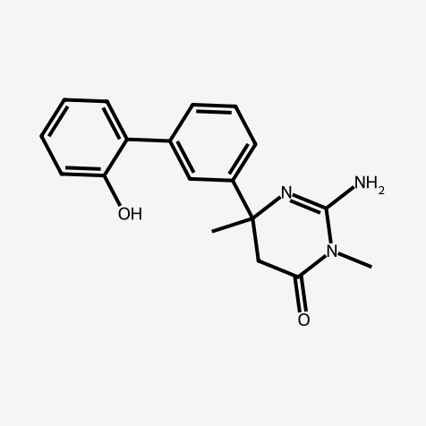 CN1C(=O)CC(C)(c2cccc(-c3ccccc3O)c2)N=C1N